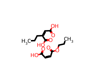 CCC/C(=C/C(=O)O)C(=O)O.CCCOC(=O)/C=C\C(=O)O